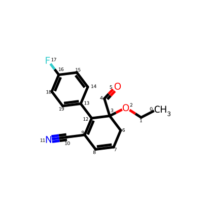 CCOC1(C=O)CC=CC(C#N)=C1c1ccc(F)cc1